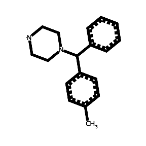 Cc1ccc(C(c2ccccc2)N2CC[N]CC2)cc1